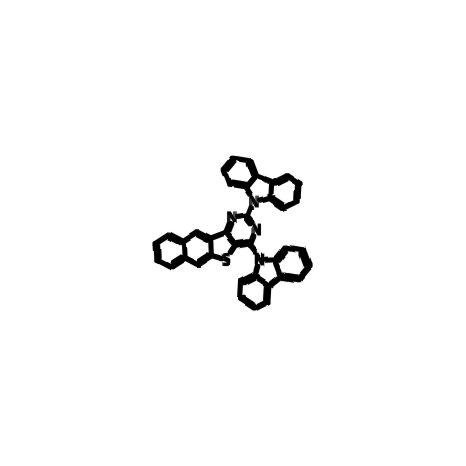 c1ccc2cc3c(cc2c1)sc1c(-n2c4ccccc4c4ccccc42)nc(-n2c4ccccc4c4ccccc42)nc13